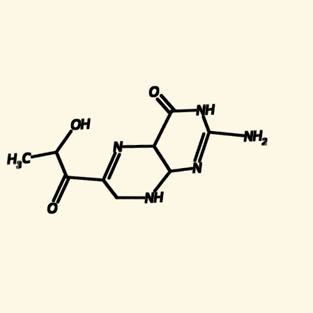 CC(O)C(=O)C1=NC2C(=O)NC(N)=NC2NC1